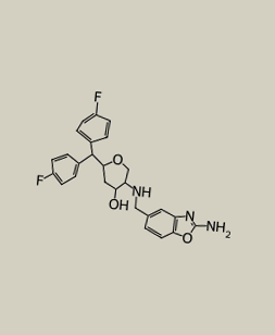 Nc1nc2cc(CNC3COC(C(c4ccc(F)cc4)c4ccc(F)cc4)CC3O)ccc2o1